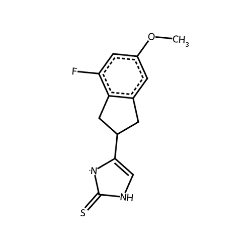 COc1cc(F)c2c(c1)CC(C1=CNC(=S)[N]1)C2